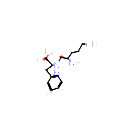 CCCC[C@H](N)C(=O)NC(Cc1cccc(F)c1)C(=O)O